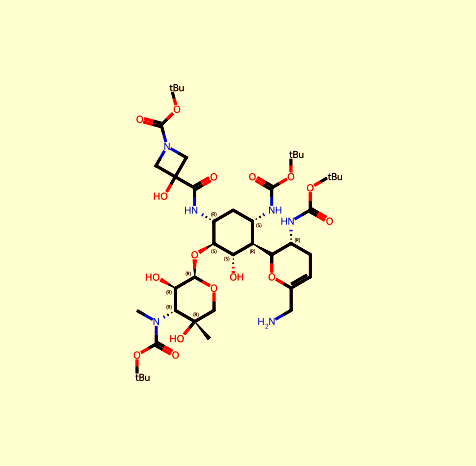 CN(C(=O)OC(C)(C)C)[C@@H]1[C@@H](O)[C@@H](O[C@@H]2[C@@H](O)[C@H](C3OC(CN)=CC[C@H]3NC(=O)OC(C)(C)C)[C@@H](NC(=O)OC(C)(C)C)C[C@H]2NC(=O)C2(O)CN(C(=O)OC(C)(C)C)C2)OC[C@]1(C)O